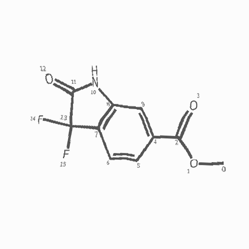 COC(=O)c1ccc2c(c1)NC(=O)C2(F)F